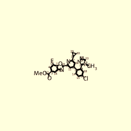 COC(=O)c1cc(F)c2oc(-c3cc(-c4ccc(Cl)cc4-c4nncn4C)cc(C4CC4)n3)nc2c1